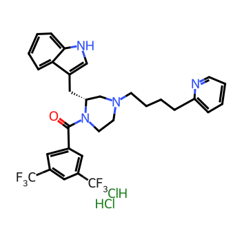 Cl.Cl.O=C(c1cc(C(F)(F)F)cc(C(F)(F)F)c1)N1CCN(CCCCc2ccccn2)C[C@H]1Cc1c[nH]c2ccccc12